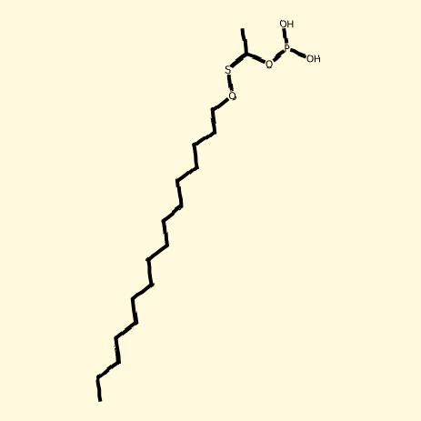 CCCCCCCCCCCCCCCCOSC(C)OP(O)O